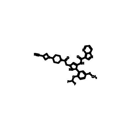 CSc1ccc(OC(F)F)c(C2NN(CC(=O)N3CCC(N4CC(C#N)C4)CC3)C=C2NC(=O)c2cnn3cccnc23)c1